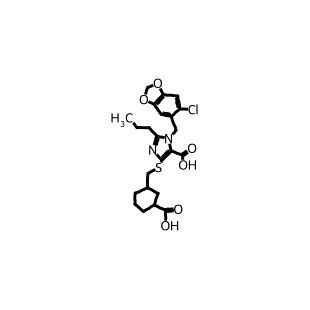 CCCc1nc(SCC2CCCC(C(=O)O)C2)c(C(=O)O)n1Cc1cc2c(cc1Cl)OCO2